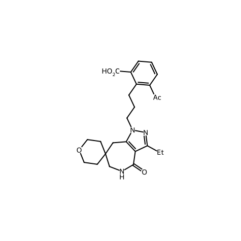 CCc1nn(CCCc2c(C(C)=O)cccc2C(=O)O)c2c1C(=O)NCC1(CCOCC1)C2